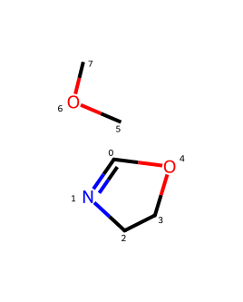 C1=NCCO1.COC